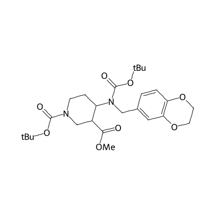 COC(=O)C1CN(C(=O)OC(C)(C)C)CCC1N(Cc1ccc2c(c1)OCCO2)C(=O)OC(C)(C)C